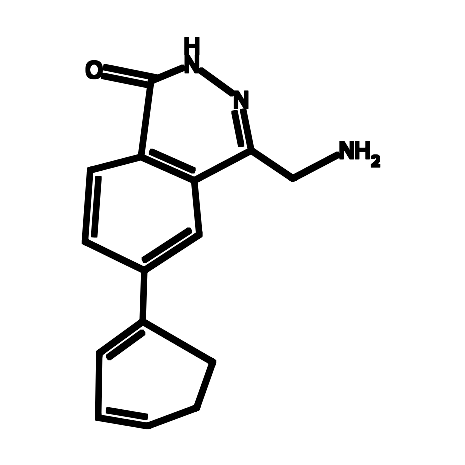 NCc1n[nH]c(=O)c2ccc(C3=CC=CCC3)cc12